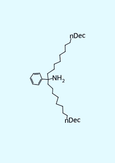 CCCCCCCCCCCCCCCCCCC(N)(CCCCCCCCCCCCCCCCCC)c1ccccc1